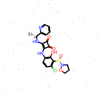 CC[C@@H](Nc1c(Nc2ccc(Cl)c([S+]([O-])N3CCCO3)c2O)c(=O)c1=O)c1ccccn1